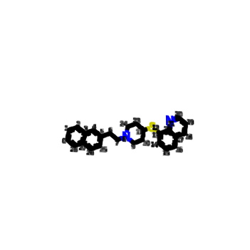 c1ccc2cc(CCN3CCC(Sc4cccc5cccnc45)CC3)ccc2c1